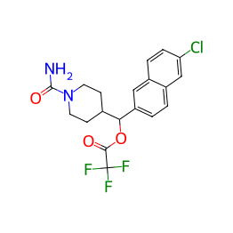 NC(=O)N1CCC(C(OC(=O)C(F)(F)F)c2ccc3cc(Cl)ccc3c2)CC1